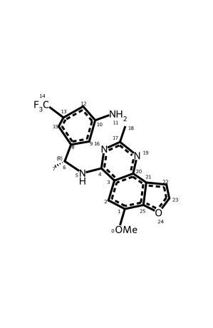 COc1cc2c(N[C@H](C)c3cc(N)cc(C(F)(F)F)c3)nc(C)nc2c2ccoc12